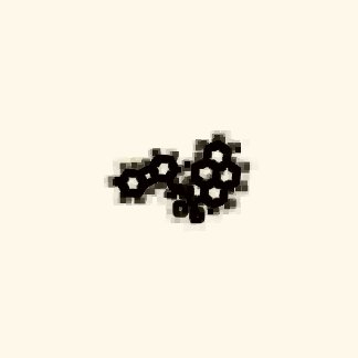 O=S(=O)(O[I+]c1cccc2c1-c1ccccc1-2)c1ccc2ccc3cccc4ccc1c2c34